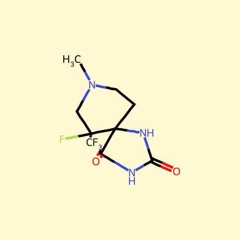 CN1CCC2(NC(=O)NC2=O)C(F)(C(F)(F)F)C1